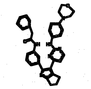 O=C(Cc1ccccc1)Nc1cccc(-c2sc3c(c2-c2ccnc(Nc4ccc(N5CCOCC5)cc4)n2)CCC3)c1